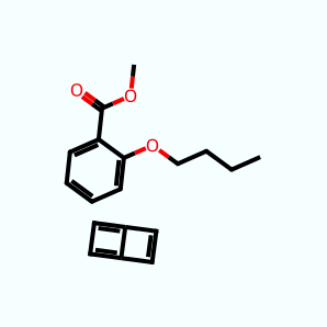 CCCCOc1ccccc1C(=O)OC.c1cc2ccc1-2